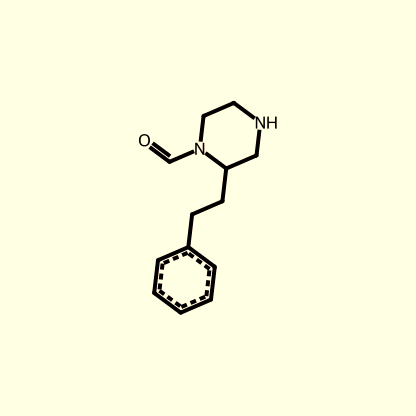 O=CN1CCNCC1CCc1ccccc1